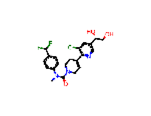 CN(C(=O)N1CC=C(c2ncc([C@H](O)CO)cc2Cl)CC1)c1ccc(C(F)F)cc1